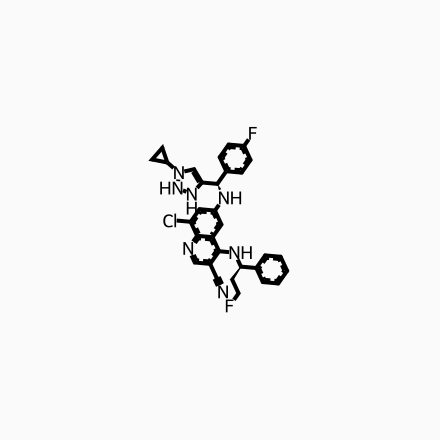 N#Cc1cnc2c(Cl)cc(N[C@H](C3=CN(C4CC4)NN3)c3ccc(F)cc3)cc2c1N[C@H](CCF)c1ccccc1